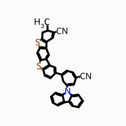 CC1Cc2sc3cc4sc5ccc(C6=CC=C(C#N)C=C(n7c8ccccc8c8ccccc87)C6)cc5c4cc3c2C=C1C#N